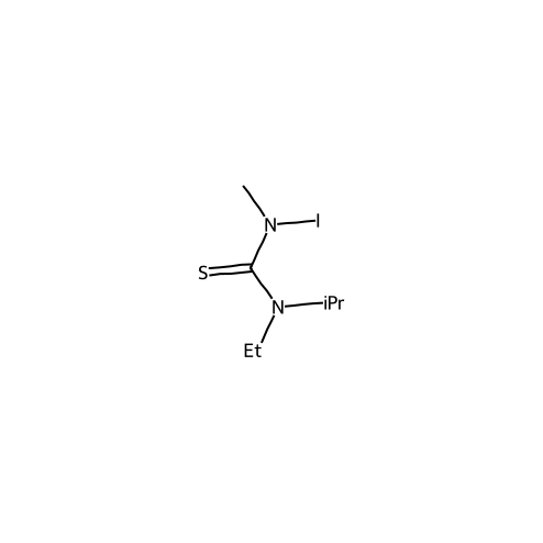 CCN(C(=S)N(C)I)C(C)C